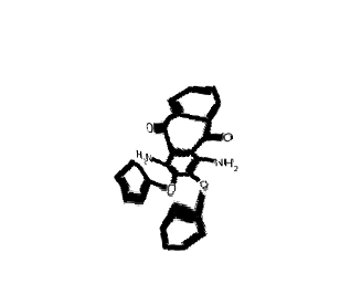 Nc1c(OC2=C=C=CC=C2)c(OC2=CC=CCC2)c(N)c2c1C(=O)c1ccccc1C2=O